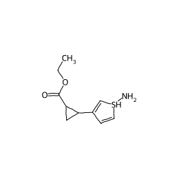 CCOC(=O)C1CC1C1=C[SH](N)C=C1